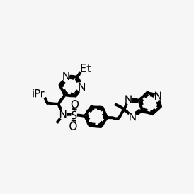 CCc1ncc(C(CC(C)C)N(C)S(=O)(=O)c2ccc(CC3(C)N=c4ccncc4=N3)cc2)cn1